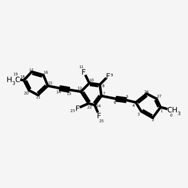 Cc1ccc(C#Cc2c(F)c(F)c(C#Cc3ccc(C)cc3)c(F)c2F)cc1